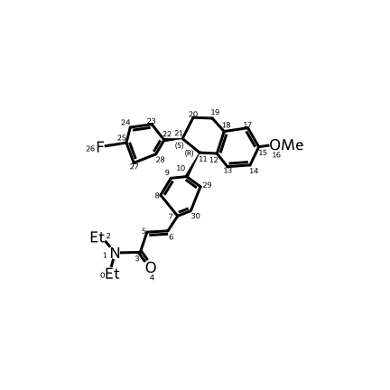 CCN(CC)C(=O)C=Cc1ccc([C@@H]2c3ccc(OC)cc3CC[C@@H]2c2ccc(F)cc2)cc1